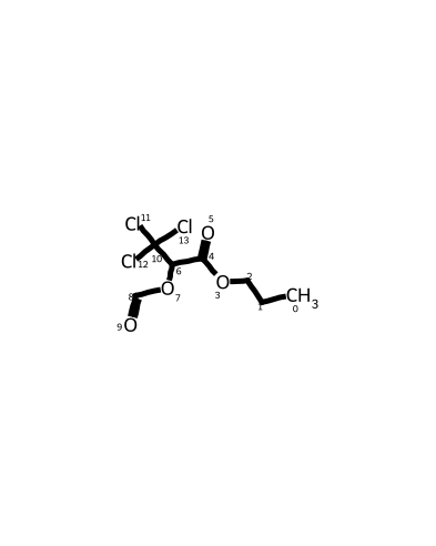 CCCOC(=O)C(OC=O)C(Cl)(Cl)Cl